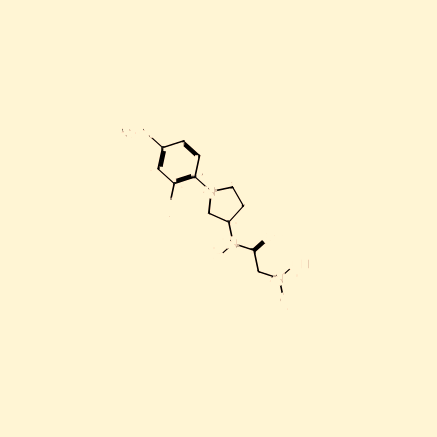 CNc1ccc(N2CCC(N(C)C(=O)CN(C)C)C2)c(F)c1